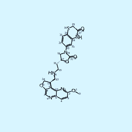 COc1ccc2ncc3c(c2n1)[C@H](CNCC[C@@H]1CN(c2ccc4c(c2)NC(=O)CS4)C(=O)O1)CO3